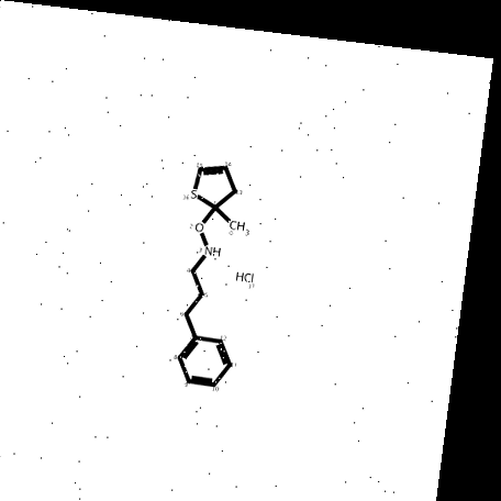 CC1(ONCCCc2ccccc2)CC=CS1.Cl